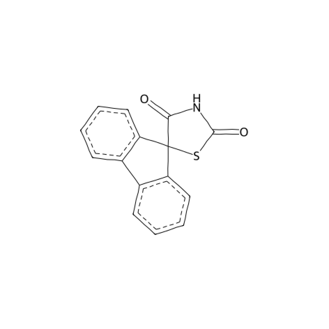 O=C1NC(=O)C2(S1)c1ccccc1-c1ccccc12